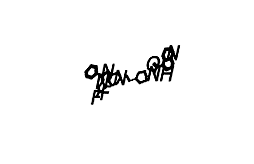 O=C(N[C@H]1CC[C@H](CCN2CCc3c(nc(-c4ccccc4)n3CC(F)F)C2)CC1)c1cccc2ncccc12